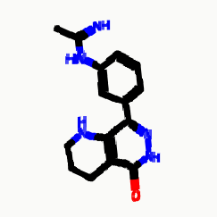 CC(=N)Nc1cccc(-c2n[nH]c(=O)c3c2NCCC3)c1